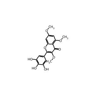 COc1cc(OC)c2c(=O)c(OC)c(-c3cc(O)c(O)c(O)c3)oc2c1